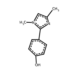 Cc1cn(C)c(-c2ccc(O)cc2)n1